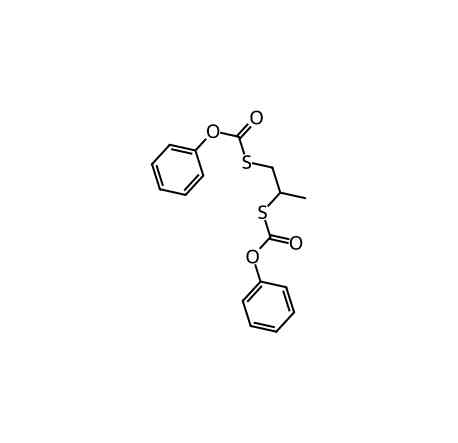 CC(CSC(=O)Oc1ccccc1)SC(=O)Oc1ccccc1